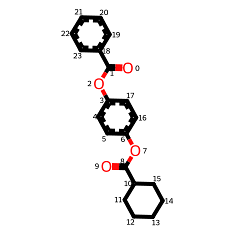 O=C(Oc1ccc(OC(=O)C2CCCCC2)cc1)c1ccccc1